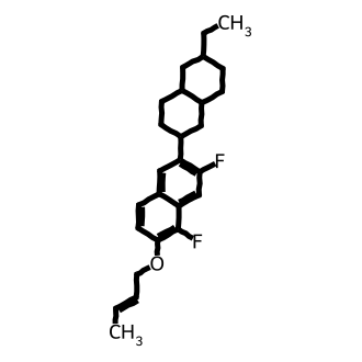 C/C=C/COc1ccc2cc(C3CCC4CC(CC)CCC4C3)c(F)cc2c1F